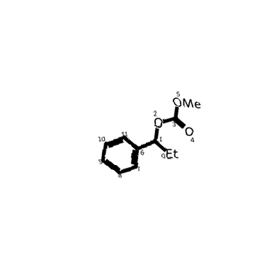 CCC(OC(=O)OC)c1ccccc1